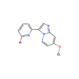 CCOc1ccn2c(-c3cccc(Br)n3)cnc2c1